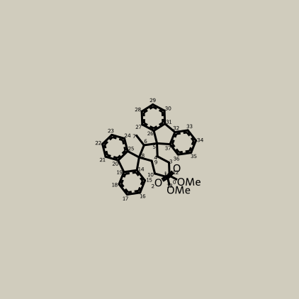 COC(=O)CCC1(C(C)C2(CCC(=O)OC)c3ccccc3-c3ccccc32)c2ccccc2-c2ccccc21